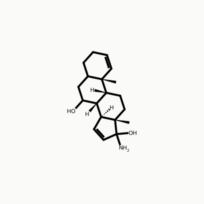 C[C@]12C=CCCC1CC(O)[C@@H]1[C@H]2CC[C@@]2(C)[C@H]1C=CC2(N)O